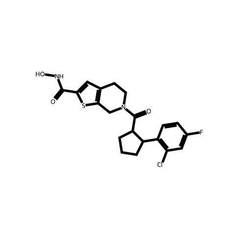 O=C(NO)c1cc2c(s1)CN(C(=O)C1CCCC1c1ccc(F)cc1Cl)CC2